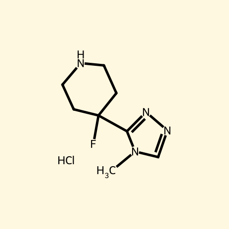 Cl.Cn1cnnc1C1(F)CCNCC1